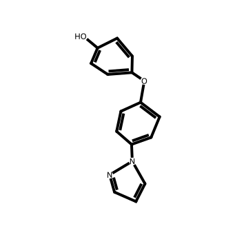 Oc1ccc(Oc2ccc(-n3cccn3)cc2)cc1